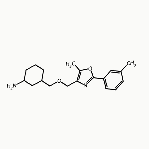 Cc1cccc(-c2nc(COCC3CCCC(N)C3)c(C)o2)c1